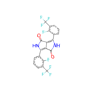 O=C1NC(c2cccc(C(F)(F)F)c2F)=C2C(=O)NC(c3cccc(C(F)(F)F)c3F)=C12